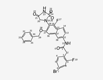 O=C(Cc1ccc(Br)cc1F)Nc1ccc2c(F)c(N3CC(=O)NS3(=O)=O)c(OCc3ccccc3)cc2c1